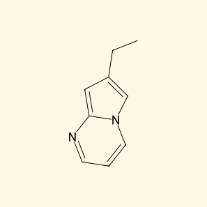 CCc1cc2ncccn2c1